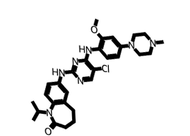 COc1cc(N2CCN(C)CC2)ccc1Nc1nc(Nc2ccc3c(c2)CCCC(=O)N3C(C)C)ncc1Cl